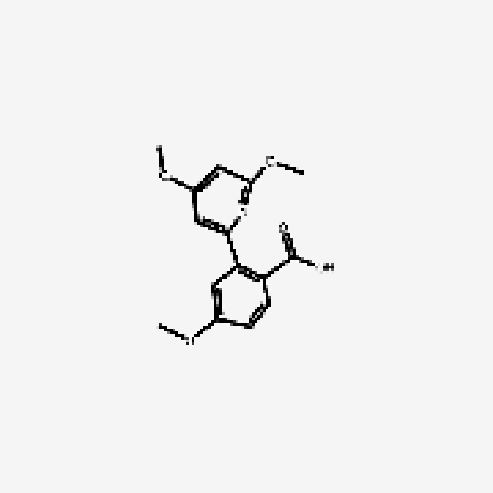 COc1cc(OC)nc(-c2cc(OC)ccc2C(=O)O)c1